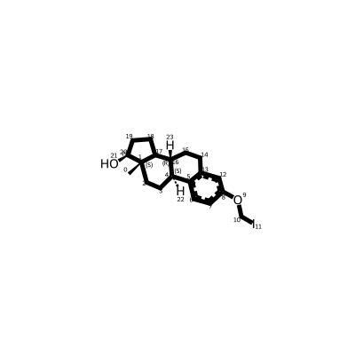 C[C@]12CC[C@@H]3c4ccc(OCI)cc4CC[C@H]3C1CC[C@@H]2O